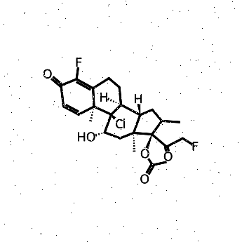 CC(=O)O[C@]1(C(=O)CF)C(C)C[C@H]2[C@@H]3CCC4=C(F)C(=O)C=C[C@]4(C)[C@@]3(Cl)[C@@H](O)C[C@@]21C